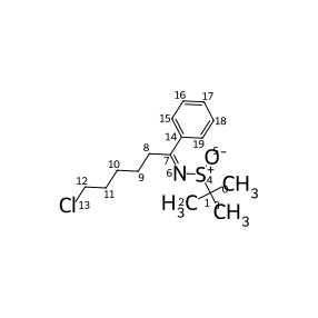 CC(C)(C)[S+]([O-])/N=C(/CCCCCCl)c1ccccc1